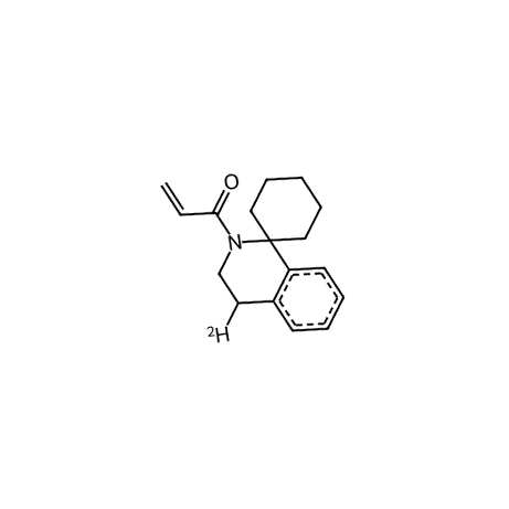 [2H]C1CN(C(=O)C=C)C2(CCCCC2)c2ccccc21